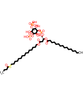 CCCCCCCCCCCCCCCC(=O)O[C@@H](COP(=O)(O)OC1C(O)[C@H](OP(=O)(O)O)C(O)[C@H](OP(=O)(O)O)[C@@H]1O)CC(=O)OCCCCCCCCCCCCCCCSC(=O)CCC